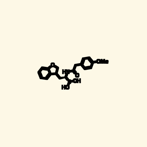 COc1ccc(CC(=O)N[C@H](CC2COc3ccccc32)B(O)O)cc1